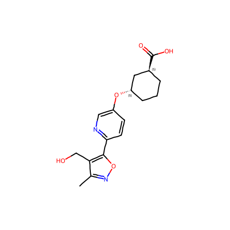 Cc1noc(-c2ccc(O[C@H]3CCC[C@H](C(=O)O)C3)cn2)c1CO